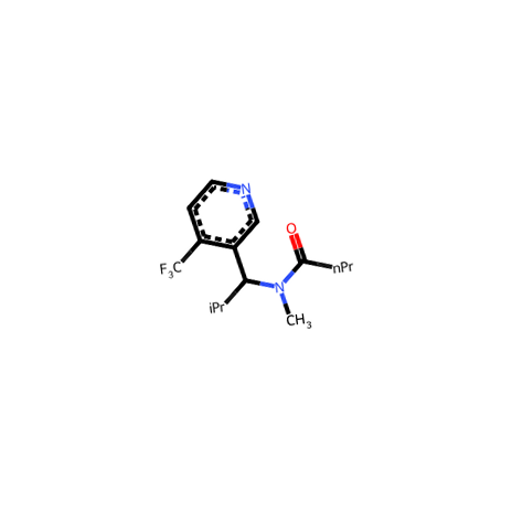 CCCC(=O)N(C)C(c1cnccc1C(F)(F)F)C(C)C